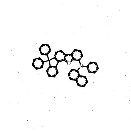 c1ccc(N(c2cccc3ccccc23)c2cccc3c2oc2c4c(ccc23)C(c2ccccc2)(c2ccccc2)c2ccccc2-4)cc1